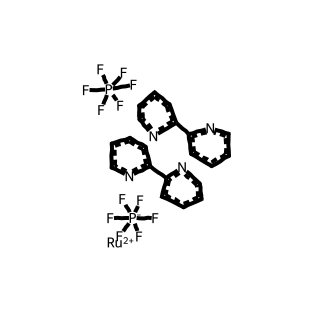 F[P-](F)(F)(F)(F)F.F[P-](F)(F)(F)(F)F.[Ru+2].c1ccc(-c2ccccn2)nc1.c1ccc(-c2ccccn2)nc1